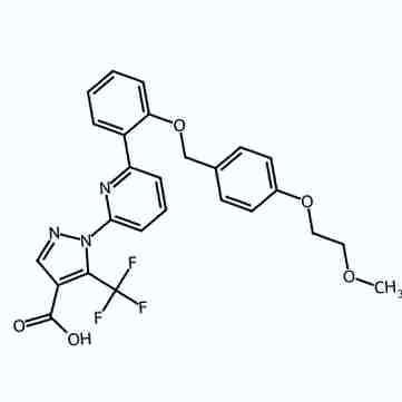 COCCOc1ccc(COc2ccccc2-c2cccc(-n3ncc(C(=O)O)c3C(F)(F)F)n2)cc1